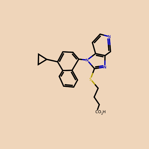 O=C(O)CCCSc1nc2cnccc2n1-c1ccc(C2CC2)c2ccccc12